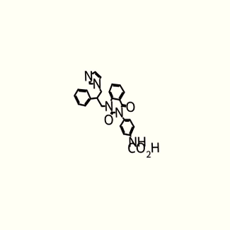 O=C(O)Nc1ccc(-n2c(=O)c3ccccc3n(CC(Cn3ccnc3)c3ccccc3)c2=O)cc1